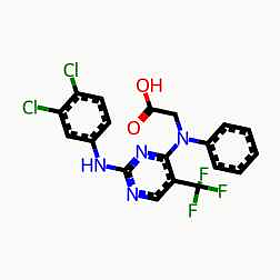 O=C(O)CN(c1ccccc1)c1nc(Nc2ccc(Cl)c(Cl)c2)ncc1C(F)(F)F